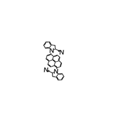 N#CC1Cc2ccccc2N1c1ccc2ccc3c(N4c5ccccc5CC4C#N)ccc4ccc1c2c43